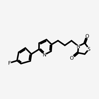 O=C1CSC(=O)N1CCCc1ccc(-c2ccc(F)cc2)nc1